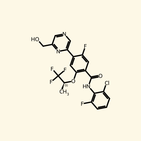 C[C@H](Oc1cc(-c2cncc(CO)n2)c(F)cc1C(=O)Nc1c(F)cccc1Cl)C(F)(F)F